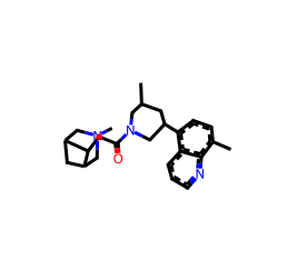 Cc1ccc(C2CC(C)CN(C(=O)CC3C4CC3CN(C)C4)C2)c2cccnc12